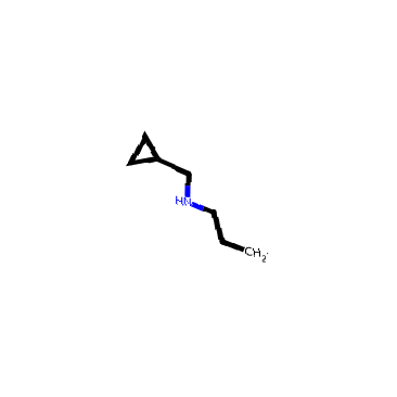 [CH2]CCNCC1CC1